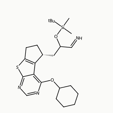 CC(C)(C)[Si](C)(C)OC(C=N)C[C@H]1CCc2sc3ncnc(OC4CCCCC4)c3c21